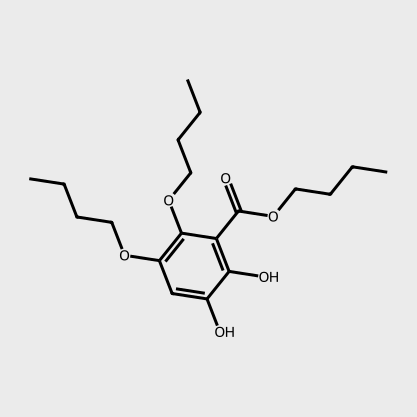 CCCCOC(=O)c1c(O)c(O)cc(OCCCC)c1OCCCC